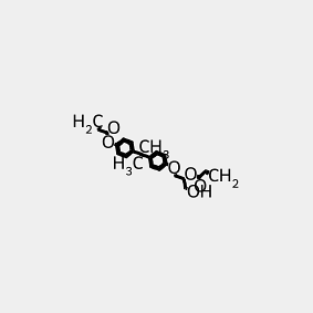 C=CC(=O)Oc1ccc(C(C)(C)c2ccc(OCC(CO)OC(=O)C=C)cc2)cc1